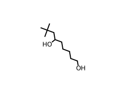 CC(C)(C)CC(O)CCCCCO